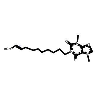 CCCCCCCC/C=C/CCCCCCCCn1c(=O)c2c(ncn2C)n(C)c1=O